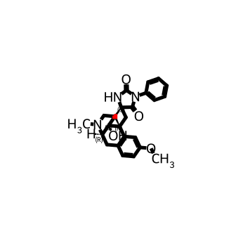 COc1ccc2c(c1)[C@]13CCN(C)[C@H](C2)[C@]1(O)CC[C@@]1(C3)NC(=O)N(c2ccccc2)C1=O